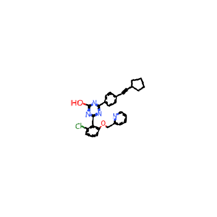 Oc1nc(-c2ccc(C#CC3CCCC3)cc2)nc(-c2c(Cl)cccc2OCc2ccccn2)n1